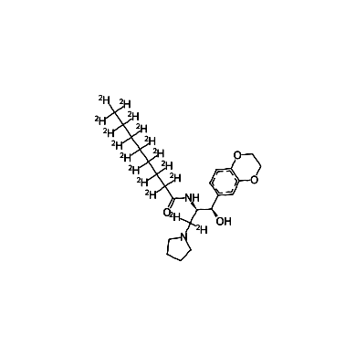 [2H]C([2H])([C@@H](NC(=O)C([2H])([2H])C([2H])([2H])C([2H])([2H])C([2H])([2H])C([2H])([2H])C([2H])([2H])C([2H])([2H])[2H])[C@H](O)c1ccc2c(c1)OCCO2)N1CCCC1